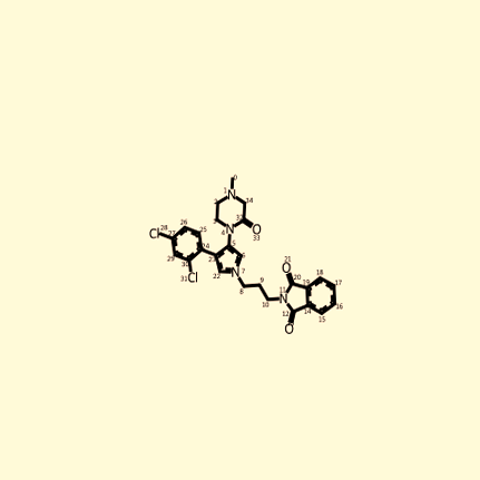 CN1CCN(c2cn(CCCN3C(=O)c4ccccc4C3=O)cc2-c2ccc(Cl)cc2Cl)C(=O)C1